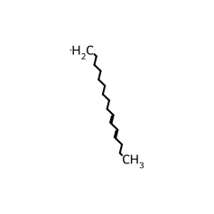 [CH2]CCCCCCCCC=CC=CCCC